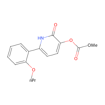 CCCOc1ccccc1-c1ccc(OC(=O)OC)c(=O)[nH]1